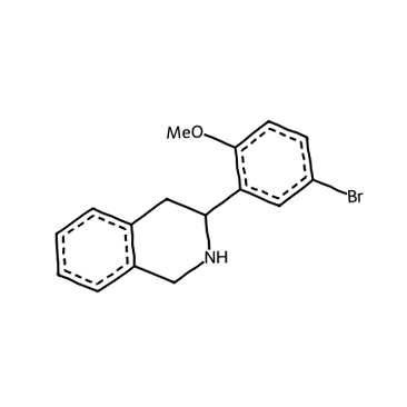 COc1ccc(Br)cc1C1Cc2ccccc2CN1